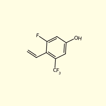 C=Cc1c(F)cc(O)cc1C(F)(F)F